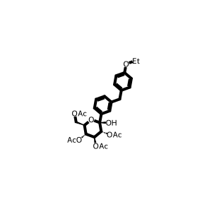 CCOc1ccc(Cc2cccc([C@@]3(O)O[C@H](COC(C)=O)[C@@H](OC(C)=O)[C@H](OC(C)=O)[C@H]3OC(C)=O)c2)cc1